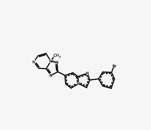 C[N+]12C=CN=CC1=NC(c1ccn3cc(-c4cccc(Br)c4)nc3c1)=N2